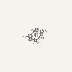 Nc1nc2c(ncn2[C@@H]2O[C@H](CO)C[C@@H]2OP(=O)(S)OC[C@H]2O[C@@H](n3cnc4c(N)ncnc43)[C@@H](F)[C@@H]2O)c(=O)[nH]1